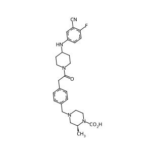 C[C@H]1CN(Cc2ccc(CC(=O)N3CCC(Nc4ccc(F)c(C#N)c4)CC3)cc2)CCN1C(=O)O